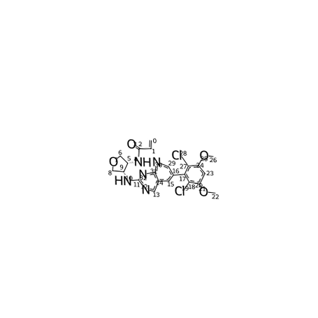 C=CC(=O)N[C@H]1COC[C@H]1Nc1ncc2cc(-c3c(Cl)c(OC)cc(OC)c3Cl)cnc2n1